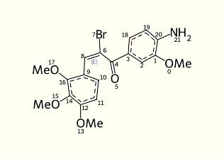 COc1cc(C(=O)/C(Br)=C\c2ccc(OC)c(OC)c2OC)ccc1N